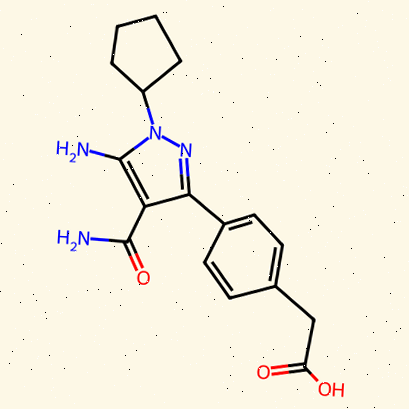 NC(=O)c1c(-c2ccc(CC(=O)O)cc2)nn(C2CCCC2)c1N